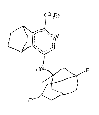 CCOC(=O)c1ncc(NC23CC4CC(F)(CC(F)(C4)C2)C3)c2c1C1CCC2CC1